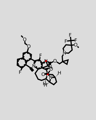 C#Cc1c(F)ccc2cc(OCOC)cc(-c3nc4c5c(nc(OCC6(CN7CCC(OC)(C(F)(F)F)CC7)CC6)nc5c3F)N3C[C@H]5CC[C@@H]([C@H]3CCC4)N5C(=O)OC(C)(C)C)c12